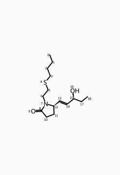 CCCCSCCN1C(=O)CC[C@@H]1/C=C/[C@@H](O)CC